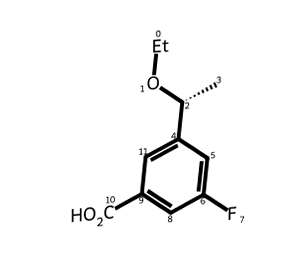 CCO[C@H](C)c1cc(F)cc(C(=O)O)c1